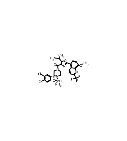 COc1ccc(-c2nc(C(=O)N3CCN(S(N)(=O)=O)[C@H](c4ccc(Cl)c(Cl)c4)C3)c(C(C)N)o2)c2ccc(C(F)(F)F)nc12